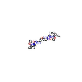 COC[C@H]1C[C@@H](c2ncc(-c3ccc4c(c3)COc3cc5c(ccc6nc([C@@H]7C[C@H](COC)CN7C(=O)[C@H](NC(=O)OC)c7ccccc7)[nH]c65)cc3-4)[nH]2)N(C(=O)[C@H](NC(=O)OC)c2ccccc2)C1